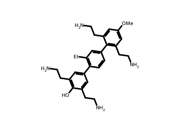 CCc1cc(-c2c(CCN)cc(OC)cc2CCN)ccc1-c1cc(CCN)c(O)c(CCN)c1